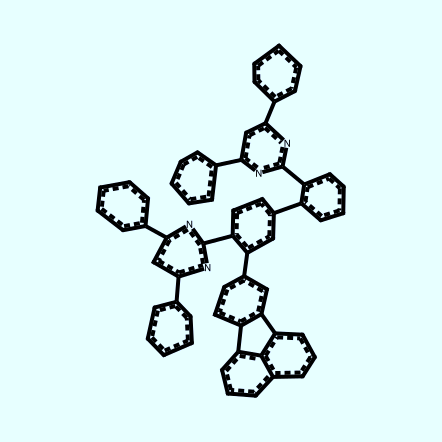 c1ccc(-c2cc(-c3ccccc3)nc(-c3ccccc3-c3ccc(-c4nc(-c5ccccc5)cc(-c5ccccc5)n4)c(-c4ccc5c(c4)-c4cccc6cccc-5c46)c3)n2)cc1